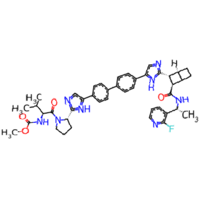 COC(=O)N[C@H](C(=O)N1CCC[C@H]1c1ncc(-c2ccc(-c3ccc(-c4cnc([C@H]5[C@H](C(=O)N[C@H](C)c6cccnc6F)C6CC[C@@H]65)[nH]4)cc3)cc2)[nH]1)C(C)C